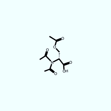 CC(=O)OC[C@H](C(=O)O)N(C(C)=O)C(C)=O